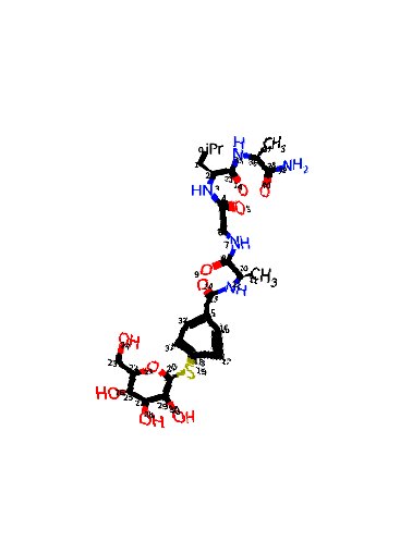 CC(C)C[C@H](NC(=O)CNC(=O)[C@H](C)NC(=O)c1ccc(S[C@@H]2OC(CO)[C@H](O)C(O)C2O)cc1)C(=O)N[C@@H](C)C(N)=O